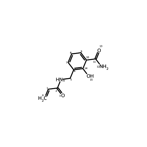 C=CC(=O)NCc1cccc(C(N)=O)c1O